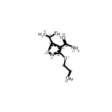 CC(C)c1onc(OCCO)c1C(N)=O